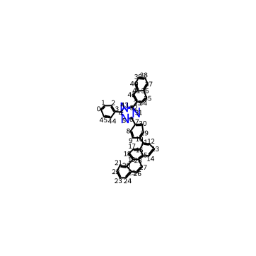 c1ccc(-c2nc(-c3ccc(-c4cccc5c4ccc4c6ccccc6ccc54)cc3)nc(-c3ccc4ccccc4c3)n2)cc1